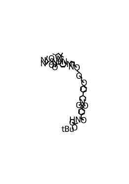 Cc1nn(C)cc1S(=O)(=O)NC(=O)c1ccc(-n2ccc(OCCOCCOc3ccc(C4CCN(S(=O)(=O)c5ccc(C(=O)NCC(=O)OC(C)(C)C)cc5)CC4)cc3)n2)nc1N1C[C@@H](C)CC1(C)C